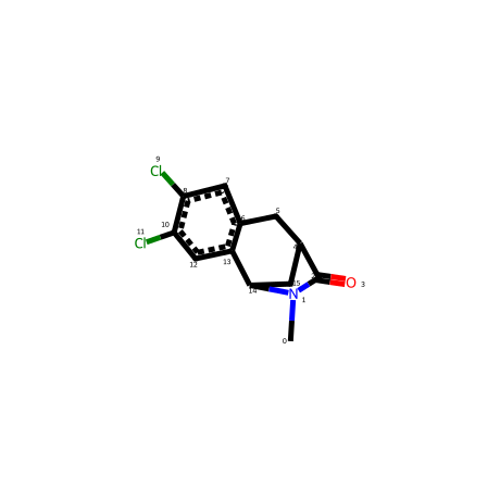 CN1C(=O)C2Cc3cc(Cl)c(Cl)cc3C1C2